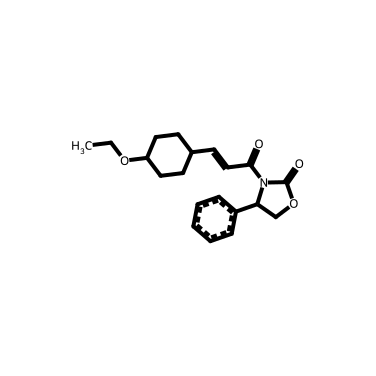 CCOC1CCC(C=CC(=O)N2C(=O)OCC2c2ccccc2)CC1